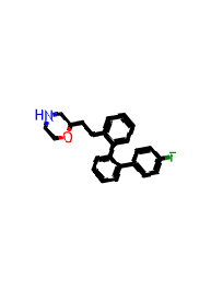 Fc1ccc(-c2ccccc2-c2ccccc2CCC2CNCCO2)cc1